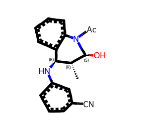 CC(=O)N1c2ccccc2[C@H](Nc2cccc(C#N)c2)[C@@H](C)[C@@H]1O